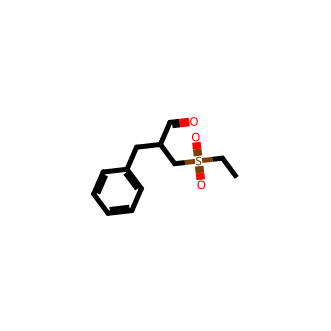 CCS(=O)(=O)CC(C=O)Cc1ccccc1